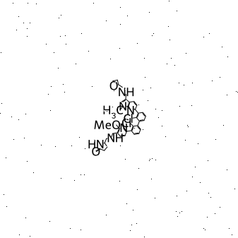 COc1nc(-c2cccc(-c3cccc(-c4ccc5c(CNCC6CCO6)cn(C)c5n4)c3Cl)c2Cl)ccc1CNCC1CCC(=O)N1